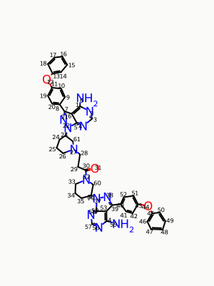 Nc1ncnc2c1c(-c1ccc(Oc3ccccc3)cc1)nn2C1CCCN(CCC(=O)N2CCC[C@@H](n3nc(-c4ccc(Oc5ccccc5)cc4)c4c(N)ncnc43)C2)C1